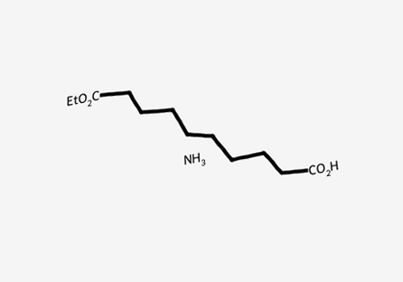 CCOC(=O)CCCCCCCCC(=O)O.N